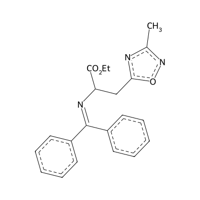 CCOC(=O)C(Cc1nc(C)no1)N=C(c1ccccc1)c1ccccc1